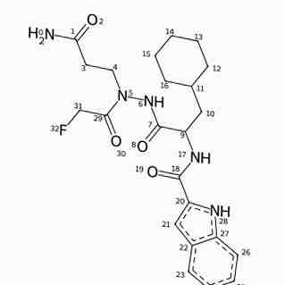 NC(=O)CCN(NC(=O)C(CC1CCCCC1)NC(=O)c1cc2ccccc2[nH]1)C(=O)CF